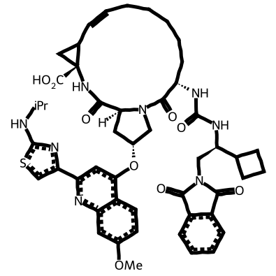 COc1ccc2c(O[C@@H]3C[C@H]4C(=O)N[C@]5(C(=O)O)CC5/C=C\CCCCC[C@H](NC(=O)N[C@H](CN5C(=O)c6ccccc6C5=O)C5CCC5)C(=O)N4C3)cc(-c3csc(NC(C)C)n3)nc2c1